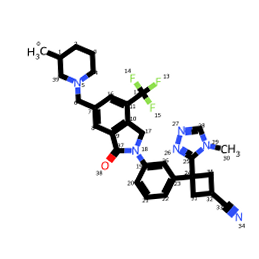 CC1CCCN(Cc2cc3c(c(C(F)(F)F)c2)CN(c2cccc(C4(c5nncn5C)CC(C#N)C4)c2)C3=O)C1